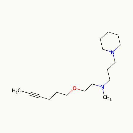 CC#CCCCOCCN(C)CCCN1CCCCC1